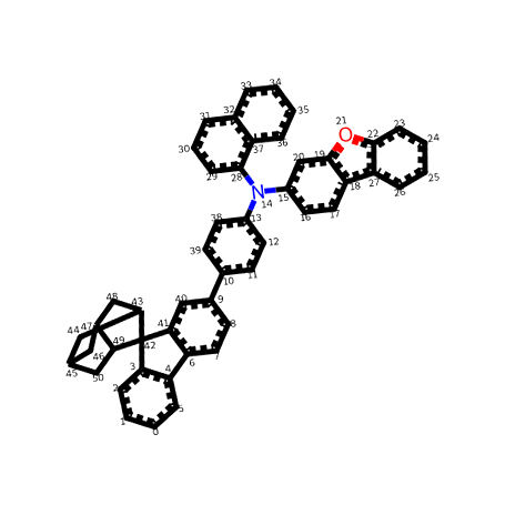 c1ccc2c(c1)-c1ccc(-c3ccc(N(c4ccc5c(c4)oc4ccccc45)c4cccc5ccccc45)cc3)cc1C21C2CC3CC(C2)C1C3